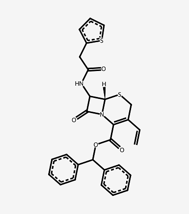 C=CC1=C(C(=O)OC(c2ccccc2)c2ccccc2)N2C(=O)C(NC(=O)Cc3cccs3)[C@@H]2SC1